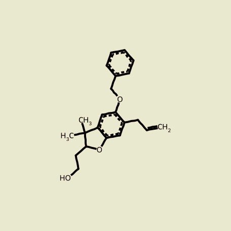 C=CCc1cc2c(cc1OCc1ccccc1)C(C)(C)C(CCO)O2